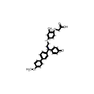 COc1ccc(-c2ccc(/C(=C/CSc3ccc(OCC(=O)O)c(C)c3)c3ccc(Cl)cc3)cc2)cc1